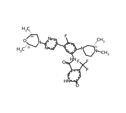 C[C@@H]1CN(c2ncc(-c3cc(NC(=O)c4c[nH]c(=O)cc4C(F)(F)F)c(N4CCN(C)[C@@H](C)C4)cc3F)cn2)C[C@H](C)O1